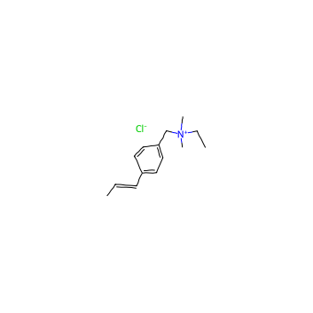 CC=Cc1ccc(C[N+](C)(C)CC)cc1.[Cl-]